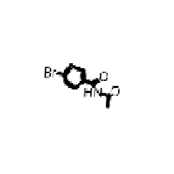 CC(=O)NC(=O)c1ccc(Br)cc1